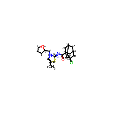 Cc1cn(CC2CCCO2)/c(=N/C(=O)C23CC4CC(CC(Cl)(C4)C2)C3)s1